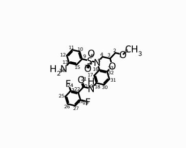 COCC1CN(S(=O)(=O)c2cccc(N)c2)c2cc(NC(=O)c3c(F)cccc3F)ccc2O1